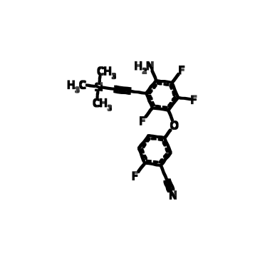 C[Si](C)(C)C#Cc1c(N)c(F)c(F)c(Oc2ccc(F)c(C#N)c2)c1F